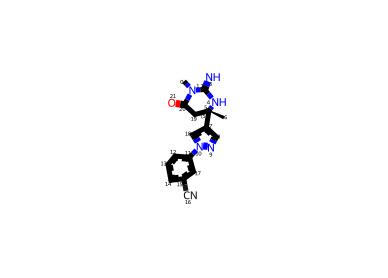 CN1C(=N)N[C@](C)(c2cnn(-c3cccc(C#N)c3)c2)CC1=O